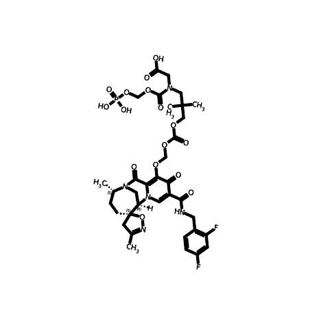 CC1=NO[C@@]2(CC[C@H](C)N3C[C@H]2n2cc(C(=O)NCc4ccc(F)cc4F)c(=O)c(OCOC(=O)OCC(C)(C)CN(CC(=O)O)C(=O)OCOP(=O)(O)O)c2C3=O)C1